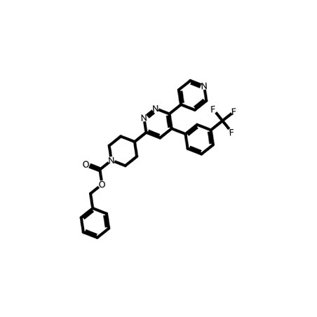 O=C(OCc1ccccc1)N1CCC(c2cc(-c3cccc(C(F)(F)F)c3)c(-c3ccncc3)nn2)CC1